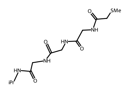 CSCC(=O)NCC(=O)NCC(=O)NCC(=O)NC(C)C